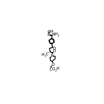 C[C@H](CC(=O)c1ccc(/C(N)=N/O)cc1)C(=O)N1CCC(OCC(=O)O)CC1